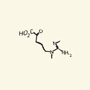 CN=C(N)N(C)CCCC(=O)C(=O)O